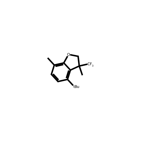 Cc1ccc(C(C)(C)C)c2c1OCC2(C)C(F)(F)F